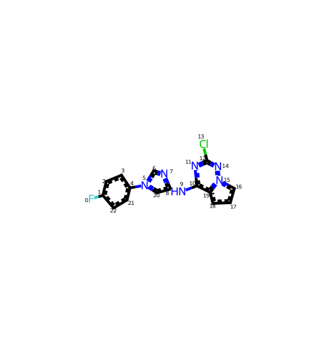 Fc1ccc(-n2cnc(Nc3nc(Cl)nn4cccc34)c2)cc1